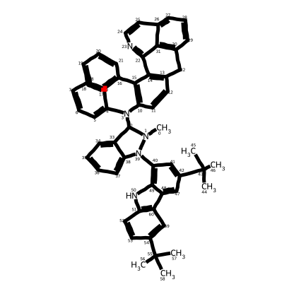 CN1C(N(c2ccccc2)c2ccc3c(c2-c2ccccc2)-c2nccc4cccc(c24)C3)c2ccccc2N1c1cc(C(C)(C)C)cc2c1[nH]c1ccc(C(C)(C)C)cc12